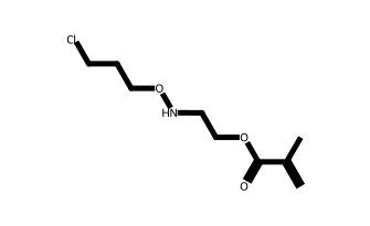 C=C(C)C(=O)OCCNOCCCCl